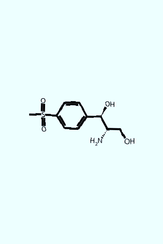 CS(=O)(=O)c1ccc([C@@H](O)[C@@H](N)CO)cc1